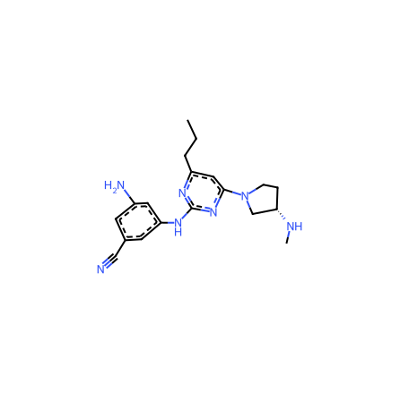 CCCc1cc(N2CC[C@H](NC)C2)nc(Nc2cc(N)cc(C#N)c2)n1